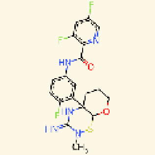 CN1SC2OCCCC2(c2cc(NC(=O)c3ncc(F)cc3F)ccc2F)NC1=N